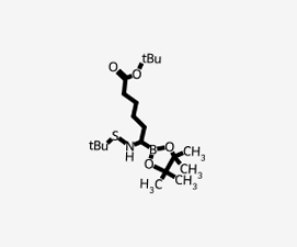 CC(C)(C)OC(=O)CCCCC(NSC(C)(C)C)B1OC(C)(C)C(C)(C)O1